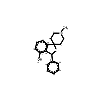 CN1CCC2(CC1)SC(c1ccccc1)c1c(O)cccc12